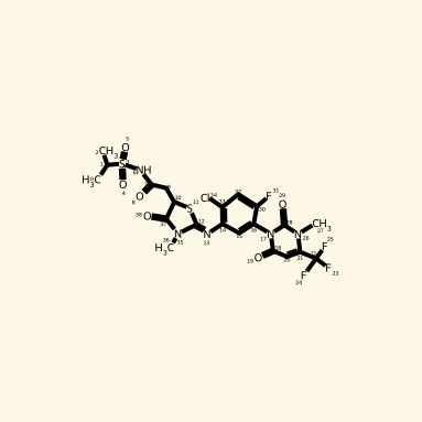 CC(C)S(=O)(=O)NC(=O)CC1SC(=Nc2cc(-n3c(=O)cc(C(F)(F)F)n(C)c3=O)c(F)cc2Cl)N(C)C1=O